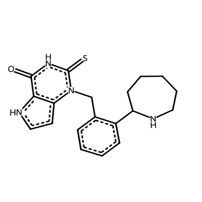 O=c1[nH]c(=S)n(Cc2ccccc2C2CCCCCN2)c2cc[nH]c12